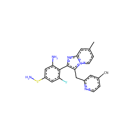 Cc1ccn2c(Cc3cc(C#N)ccn3)c(-c3c(N)cc(SN)cc3F)nc2c1